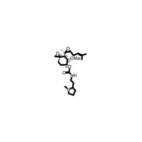 CO[C@@H]1[C@H](OC(=O)NCCC2CCCN2C)CC[C@]2(CO2)[C@H]1[C@@]1(C)OC1CC=C(C)C